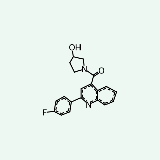 O=C(c1cc(-c2ccc(F)cc2)nc2ccccc12)N1CCC(O)C1